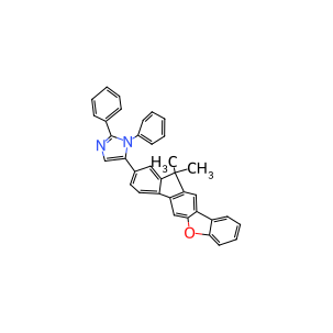 CC1(C)c2cc(-c3cnc(-c4ccccc4)n3-c3ccccc3)ccc2-c2cc3oc4ccccc4c3cc21